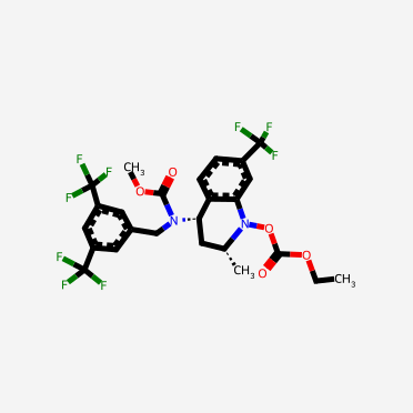 CCOC(=O)ON1c2cc(C(F)(F)F)ccc2[C@@H](N(Cc2cc(C(F)(F)F)cc(C(F)(F)F)c2)C(=O)OC)C[C@H]1C